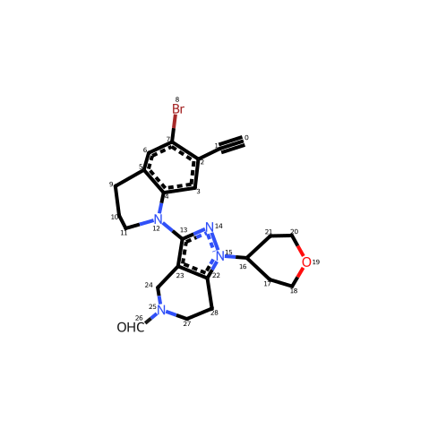 C#Cc1cc2c(cc1Br)CCCN2c1nn(C2CCOCC2)c2c1CN(C=O)CC2